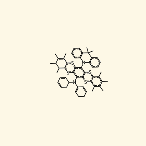 CC1=C(C)C(C)C(C)c2sc3c(N(C4=CCCC=C4)C4C=CC=CC4)c4sc5c(C)c(C)c(C)c(C)c5sc4c(N4c5ccccc5C(C)(C)c5ccccc54)c3sc21